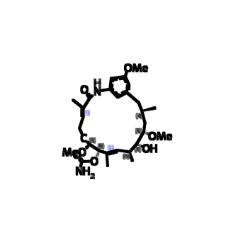 COc1cc2cc(c1)NC(=O)/C(C)=C/CC[C@H](OC)[C@@H](OC(N)=O)/C(C)=C/[C@H](C)[C@@H](O)[C@@H](OC)C[C@H](C)C2